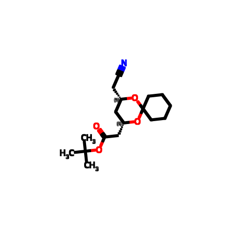 CC(C)(C)OC(=O)C[C@@H]1C[C@H](CC#N)OC2(CCCCC2)O1